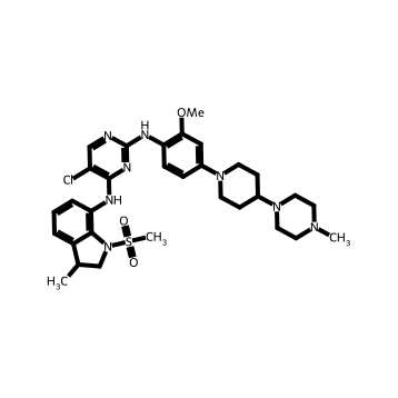 COc1cc(N2CCC(N3CCN(C)CC3)CC2)ccc1Nc1ncc(Cl)c(Nc2cccc3c2N(S(C)(=O)=O)CC3C)n1